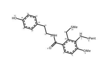 CCCCCNc1c(OC)ccc(C(=O)NCCc2ccc(O)cc2)c1CSC